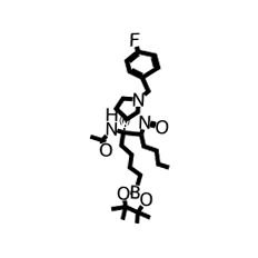 CCCCC(N=O)C(CCCCB1OC(C)(C)C(C)(C)O1)(NC(C)=O)[C@@H]1CCN(Cc2ccc(F)cc2)C1